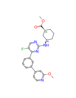 COC(=O)[C@H]1CCC[C@@H](Nc2ncc(F)c(-c3cccc(-c4ccnc(OC)c4)c3)n2)C1